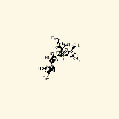 CCCOC(=O)[C@H](CC(C)C)NP(=O)(N[C@@H](CC(C)C)C(=O)OCCC)OC[C@H]1OC2C(n3cnc4c(OC)nc(O)nc43)CC2(O)[C@H]1O